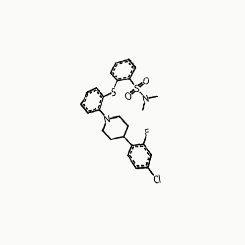 CN(C)S(=O)(=O)c1ccccc1Sc1ccccc1N1CCC(c2ccc(Cl)cc2F)CC1